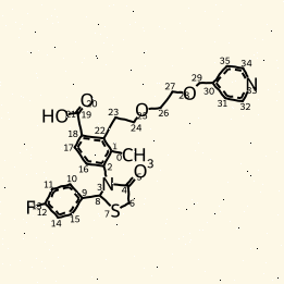 Cc1c(N2C(=O)CSC2c2ccc(F)cc2)ccc(C(=O)O)c1CCOCCOCc1ccncc1